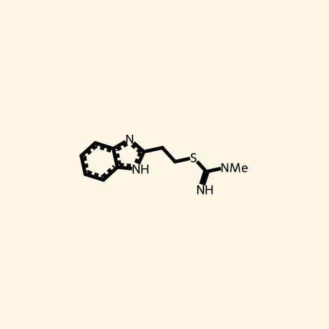 CNC(=N)SCCc1nc2ccccc2[nH]1